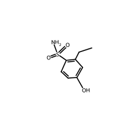 CCc1cc(O)ccc1S(N)(=O)=O